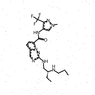 CCCN[C@@H](CC)CNc1ncc2ccc(C(=O)Nc3cn(C)nc3C(F)(F)F)n2n1